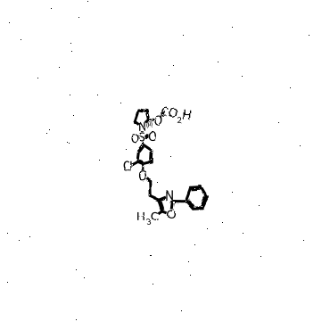 Cc1oc(-c2ccccc2)nc1CCOc1ccc(S(=O)(=O)N2CCC[C@H]2OC(=O)O)cc1Cl